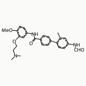 COc1ccc(NC(=O)c2ccc(-c3ccc(NC=O)cc3C)cc2)cc1OCCN(C)C